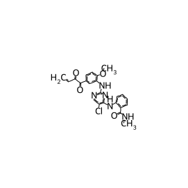 C=CC(=O)C(=O)c1ccc(OC)c(Nc2ncc(Cl)c(Nc3ccccc3C(=O)NC)n2)c1